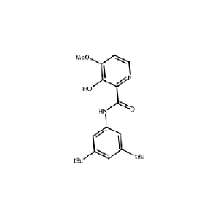 COc1ccnc(C(=O)Nc2cc(C(C)(C)C)cc(C(C)(C)C)c2)c1O